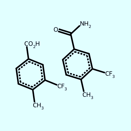 Cc1ccc(C(=O)O)cc1C(F)(F)F.Cc1ccc(C(N)=O)cc1C(F)(F)F